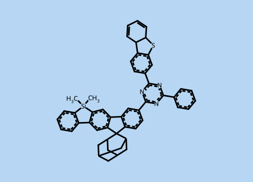 C[Si]1(C)c2ccccc2-c2cc3c(cc21)-c1cc(-c2nc(-c4ccccc4)nc(-c4ccc5c(c4)SC4C=CC=CC54)n2)ccc1C31C2CC3CC(C2)CC1C3